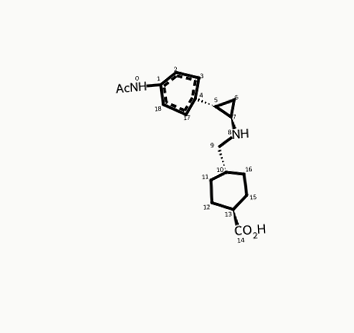 CC(=O)Nc1ccc([C@@H]2C[C@H]2NC[C@H]2CC[C@H](C(=O)O)CC2)cc1